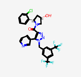 O=C(c1nnn(Cc2cc(C(F)(F)F)cc(C(F)(F)F)c2)c1-c1cccnc1)N1C[C@@H](O)C[C@H]1c1ccccc1Cl